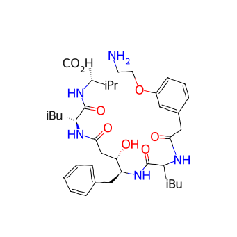 CCC(C)C(NC(=O)Cc1cccc(OCCN)c1)C(=O)N[C@@H](Cc1ccccc1)[C@@H](O)CC(=O)N[C@H](C(=O)N[C@H](C(=O)O)C(C)C)[C@@H](C)CC